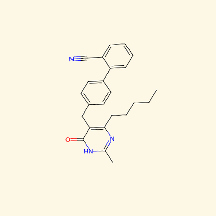 CCCCCc1nc(C)[nH]c(=O)c1Cc1ccc(-c2ccccc2C#N)cc1